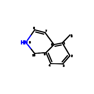 [CH2]c1cccc2c1C=CNC2